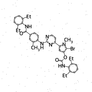 CCc1cccc(CC)c1NC(=O)Oc1cc(-c2ccnc(Nc3ccc(C(=O)Nc4c(CC)cccc4CC)cc3C)n2)n(C)c1Br